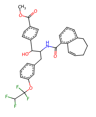 COC(=O)c1ccc(C(O)C(Cc2cccc(OC(F)(F)C(F)F)c2)NC(=O)c2cccc3c2C=CCCC3)cc1